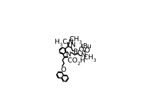 Cc1c(-c2cccc3c(CCCOc4cccc5ccccc45)c(C(=O)O)n(CCCCN(C)C(=O)OC(C)(C)C)c23)c(CBr)nn1C